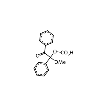 COC(OC(=O)O)(C(=O)c1ccccc1)c1ccccc1